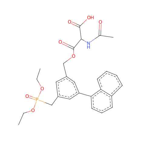 CCOP(=O)(Cc1cc(COC(=O)C(NC(C)=O)C(=O)O)cc(-c2cccc3ccccc23)c1)OCC